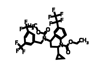 CCOC(=O)N1c2ccc(C(F)(F)C(F)(F)F)cc2C(N(Cc2cc(C(F)(F)F)cc(C(F)(F)F)c2)C(=O)OC)CC1C1CC1